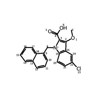 COc1c(C(=O)O)n(Cc2cccc3ccccc23)c2ccc(Cl)cc12